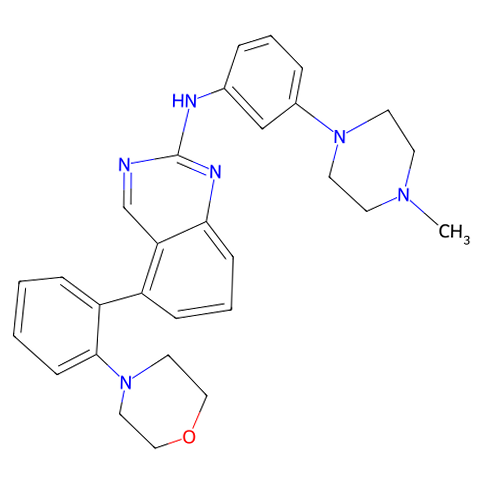 CN1CCN(c2cccc(Nc3ncc4c(-c5ccccc5N5CCOCC5)cccc4n3)c2)CC1